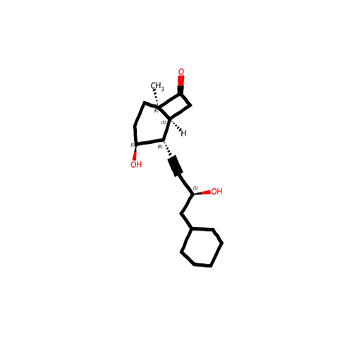 C[C@@]12CC[C@H](O)[C@@H](C#C[C@@H](O)CC3CCCCC3)[C@@H]1CC2=O